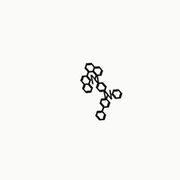 c1ccc(-c2ccc(N(c3ccccc3)c3ccc(N4c5c(ccc6ccccc56)-c5cccc6cccc4c56)cc3)cc2)cc1